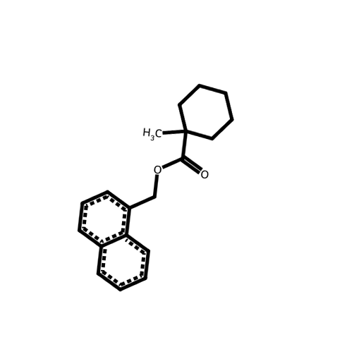 CC1(C(=O)OCc2cccc3ccccc23)CCCCC1